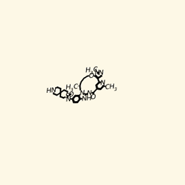 Cc1cc2cc(n1)-c1cnn(C)c1OCCC[C@@H](C)CN1/C(=N/C2=O)Nc2ccc(N=S3(=O)CCC4(CCNCC4)CC3)cc21